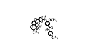 COc1cc(C(=O)NC2CCN(C)CC2)ccc1Nc1ncc(Cl)c(Oc2cccc3c2C(O)N[C@@H](C)CO3)n1